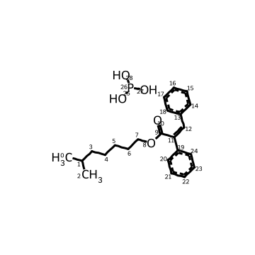 CC(C)CCCCCOC(=O)C(=Cc1ccccc1)c1ccccc1.OP(O)O